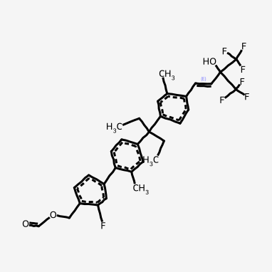 CCC(CC)(c1ccc(/C=C/C(O)(C(F)(F)F)C(F)(F)F)c(C)c1)c1ccc(-c2ccc(COC=O)c(F)c2)c(C)c1